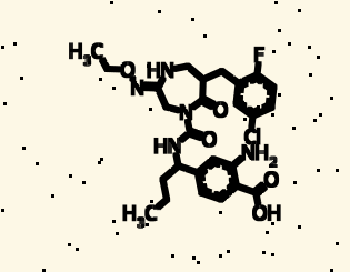 CCCC(NC(=O)N1C/C(=N/OCC)NCC(Cc2cc(Cl)ccc2F)C1=O)c1ccc(C(=O)O)c(N)c1